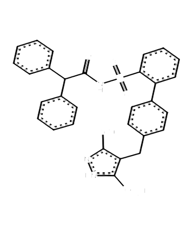 CCCCc1n[nH]c(C(=O)O)c1Cc1ccc(-c2ccccc2S(=O)(=O)NC(=O)C(c2ccccc2)c2ccccc2)cc1